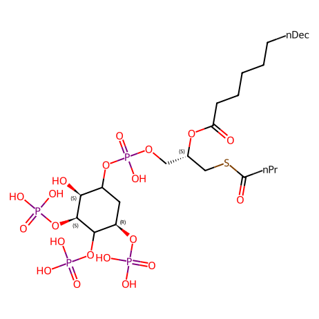 CCCCCCCCCCCCCCCC(=O)O[C@@H](COP(=O)(O)OC1C[C@@H](OP(=O)(O)O)C(OP(=O)(O)O)[C@@H](OP(=O)(O)O)[C@H]1O)CSC(=O)CCC